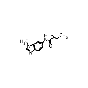 CCOC(=O)Nc1ccc2ncn(C)c2c1